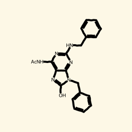 CC(=O)Nc1nc(NCc2ccccc2)nc2c1nc(O)n2Cc1ccccc1